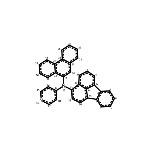 c1ccc2c(c1)-c1cccc3c(N(c4ccncc4)c4cc5ccccc5c5ccccc45)ccc-2c13